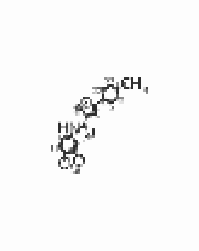 Cc1ccc(-c2cc(C(=O)Nc3ccc4c(c3)OCO4)no2)cc1